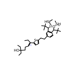 CC/C(=C\CCC(O)(CC)CC)c1ccc(CCc2ccc(C(O[SiH](C)C)C(C)(C)C)c(C(O[SiH](C)C)C(C)(C)C)c2)s1